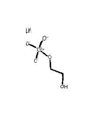 [LiH].[O-][Cl+3]([O-])([O-])OCCO